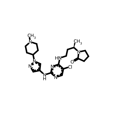 C[C@H](CCNc1nc(Nc2cnn(C3CCN(C)CC3)c2)ncc1Cl)N1CCCC1=O